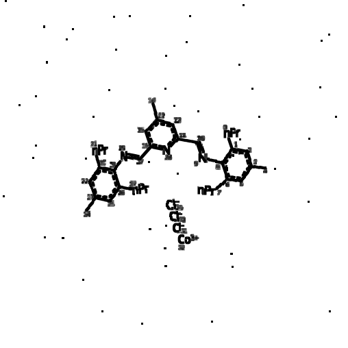 CCCc1cc(C)cc(CCC)c1N=Cc1cc(C)cc(C=Nc2c(CCC)cc(C)cc2CCC)n1.[Cl-].[Cl-].[Cl-].[Co+3]